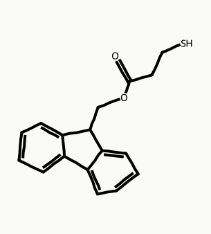 O=C(CCS)OCC1c2ccccc2-c2ccccc21